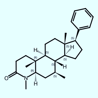 C[C@H]1C[C@H]2N(C)C(=O)CC[C@]2(C)[C@H]2CC[C@]3(C)[C@@H](c4ccccc4)CC[C@H]3[C@H]12